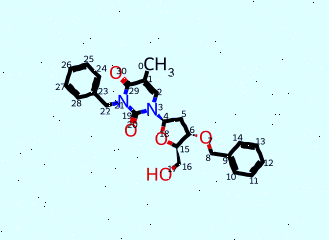 Cc1cn([C@H]2C[C@H](OCc3ccccc3)[C@@H](CO)O2)c(=O)n(Cc2ccccc2)c1=O